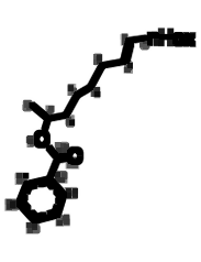 CCCCCCC=CCCCCC(C)OC(=O)c1ccccc1